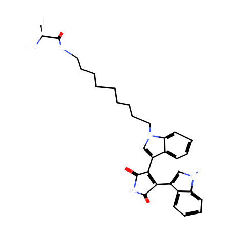 C[C@H](N)C(=O)NCCCCCCCCCn1cc(C2=C(c3cn(C)c4ccccc34)C(=O)NC2=O)c2ccccc21